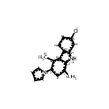 Cc1cc(-n2cccc2)c(C)c2c1[nH]c1cc(Cl)ccc12